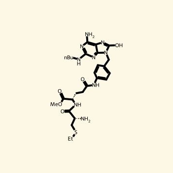 CCCCNc1nc(N)c2nc(O)n(Cc3ccc(NC(=O)CC[C@H](NC(=O)[C@H](N)CSCC)C(=O)OC)cc3)c2n1